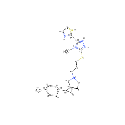 Cn1c(SCCCN2CC[C@]3(CC3c3ccc(C(F)(F)F)cc3)C2)nnc1-c1nccs1